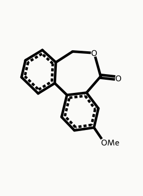 COc1ccc2c(c1)C(=O)OCc1ccccc1-2